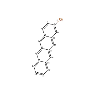 Sc1ccc2cc3cc4ccccc4cc3cc2c1